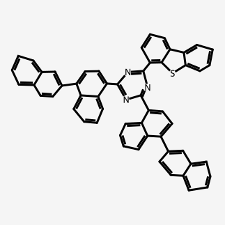 c1ccc2cc(-c3ccc(-c4nc(-c5ccc(-c6ccc7ccccc7c6)c6ccccc56)nc(-c5cccc6c5sc5ccccc56)n4)c4ccccc34)ccc2c1